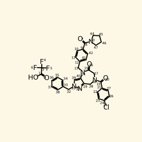 O=C(O)C(F)(F)F.O=C(c1ccc(CN2C(=O)CN(C(=O)c3ccc(Cl)cc3)Cc3nn(Cc4ccccc4)cc32)cc1)N1CCCC1